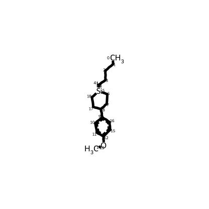 CCCCC[SiH]1CCC(c2ccc(OC)cc2)CC1